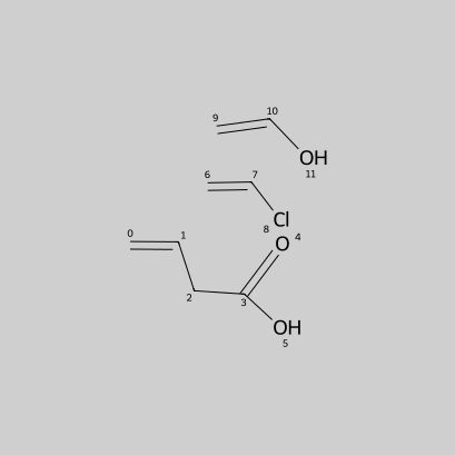 C=CCC(=O)O.C=CCl.C=CO